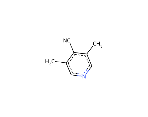 Cc1[c]ncc(C)c1C#N